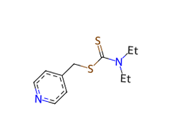 CCN(CC)C(=S)SCc1ccncc1